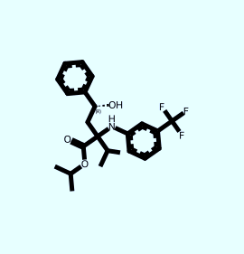 CC(C)OC(=O)C(C[C@@H](O)c1ccccc1)(Nc1cccc(C(F)(F)F)c1)C(C)C